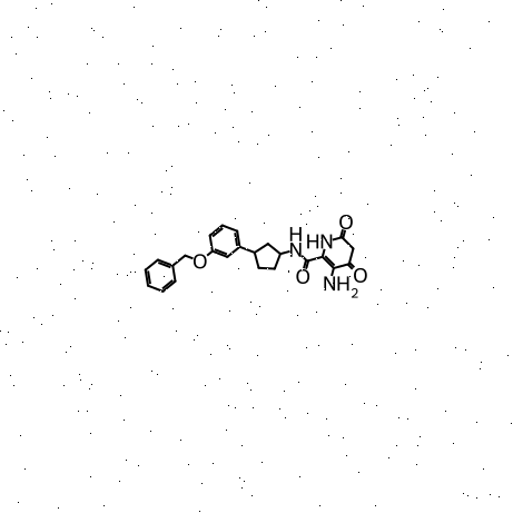 NC1=C(C(=O)NC2CCC(c3cccc(OCc4ccccc4)c3)C2)NC(=O)CC1=O